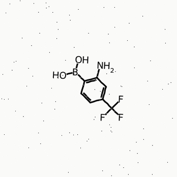 Nc1cc(C(F)(F)F)ccc1B(O)O